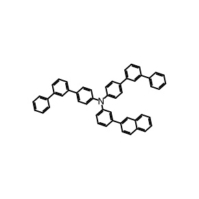 c1ccc(-c2cccc(-c3ccc(N(c4ccc(-c5cccc(-c6ccccc6)c5)cc4)c4cccc(-c5ccc6ccccc6c5)c4)cc3)c2)cc1